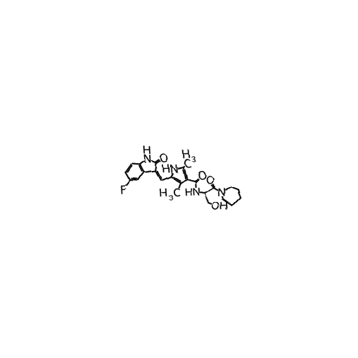 Cc1[nH]c(/C=C2\C(=O)Nc3ccc(F)cc32)c(C)c1C(=O)N[C@H](CO)C(=O)N1CCCCC1